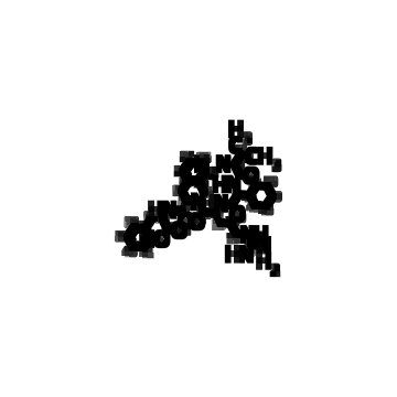 CC(C)[C@H](N)C(=O)N[C@H](C(=O)N[C@@H](CCCNC(=N)N)C(=O)N1Cc2ccccc2C[C@H]1C(=O)N[C@@H](Cc1ccccc1)C(=O)O)C1CCCCC1